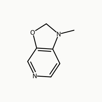 CN1COc2cnccc21